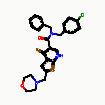 O=C(c1c[nH]c2sc(CN3CCOCC3)cc2c1=S)N(Cc1ccccc1)Cc1ccc(Cl)cc1